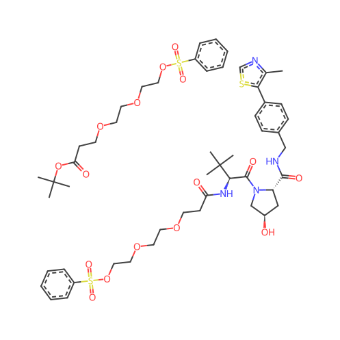 CC(C)(C)OC(=O)CCOCCOCCOS(=O)(=O)c1ccccc1.Cc1ncsc1-c1ccc(CNC(=O)[C@@H]2C[C@@H](O)CN2C(=O)[C@@H](NC(=O)CCOCCOCCOS(=O)(=O)c2ccccc2)C(C)(C)C)cc1